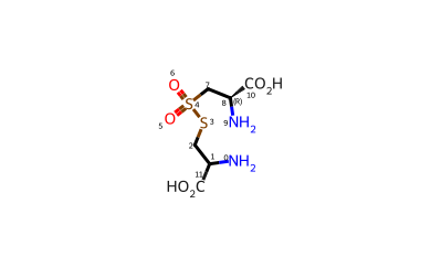 NC(CSS(=O)(=O)C[C@H](N)C(=O)O)C(=O)O